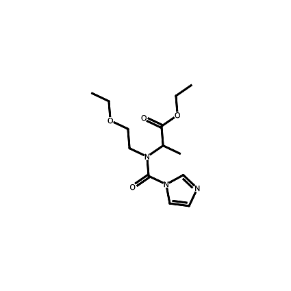 CCOCCN(C(=O)n1ccnc1)C(C)C(=O)OCC